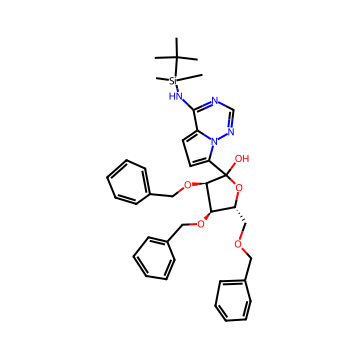 CC(C)(C)[Si](C)(C)Nc1ncnn2c(C3(O)O[C@H](COCc4ccccc4)[C@@H](OCc4ccccc4)[C@H]3OCc3ccccc3)ccc12